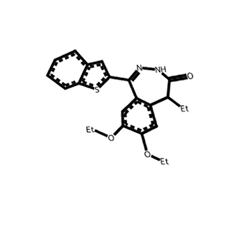 CCOc1cc2c(cc1OCC)C(CC)C(=O)NN=C2c1cc2ccccc2s1